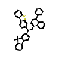 CC1(C)c2ccccc2-c2ccc(C(Cc3ccc(-c4ccccc4)c4ccccc34)c3ccc4c(c3)sc3ccccc34)cc21